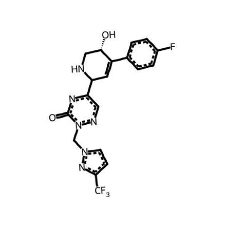 O=c1nc(C2C=C(c3ccc(F)cc3)[C@@H](O)CN2)cnn1Cn1ccc(C(F)(F)F)n1